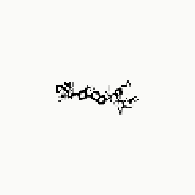 COC[C@H]1C[C@@H](c2nc3ccc4cc5c(cc4c3[nH]2)OCc2cc(-c3cnc([C@@]4(C(C)(C)C)CCCN4C(=O)O)[nH]3)ccc2-5)N(C(=O)[C@@H](NC(=O)OC)[C@@H](C)OC)C1